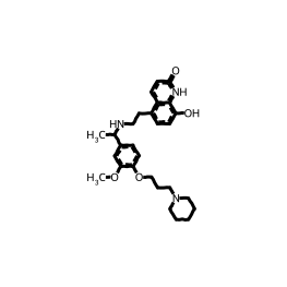 COc1cc(C(C)NCCc2ccc(O)c3[nH]c(=O)ccc23)ccc1OCCCN1CCCCC1